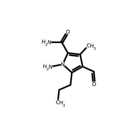 CCCc1c(C=O)c(C)c(C(N)=O)n1N